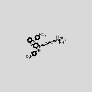 N=C(N)NCCOCCOCC/N=c1\cc2n(-c3ccc([N+](=O)[O-])cc3)c3ccccc3nc-2cc1Nc1ccc([N+](=O)[O-])cc1